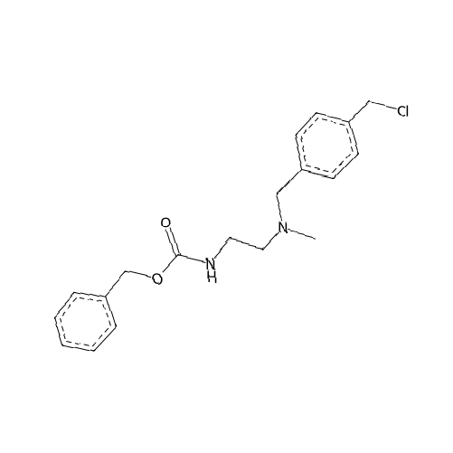 CN(CCNC(=O)OCc1ccccc1)Cc1ccc(CCl)cc1